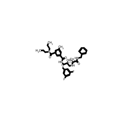 CCCN(CCC)C(=O)c1cc(C)cc(C(=O)N[C@@H](Cc2cc(F)cc(F)c2)[C@H](O)CN[C@@H](C)C(=O)NCc2ccccc2)c1